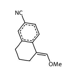 COC=C1CCCc2cc(C#N)ccc21